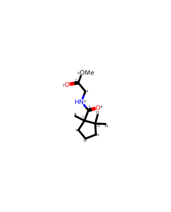 COC(=O)CNC(=O)C1(C)CCCC1(C)C